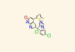 Cc1ccc(-c2cc(=O)n(C)c3ncc([C@](Cl)(c4ccc(Cl)cc4)c4cncn4C)cc23)s1